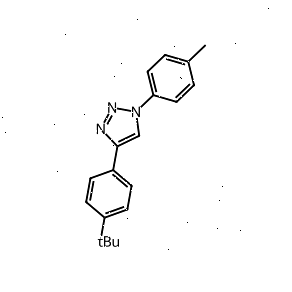 Cc1ccc(-n2cc(-c3ccc(C(C)(C)C)cc3)nn2)cc1